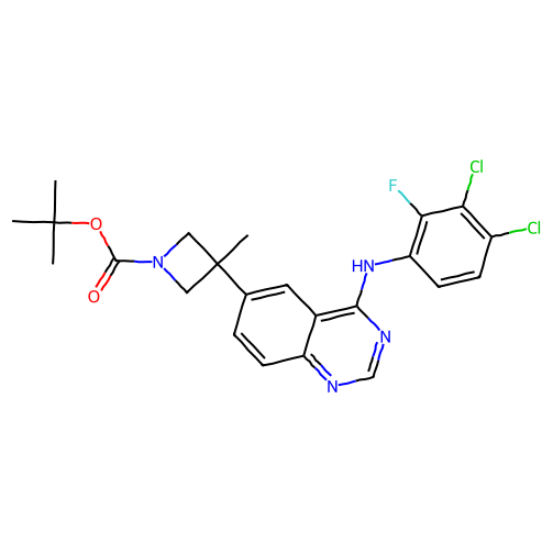 CC(C)(C)OC(=O)N1CC(C)(c2ccc3ncnc(Nc4ccc(Cl)c(Cl)c4F)c3c2)C1